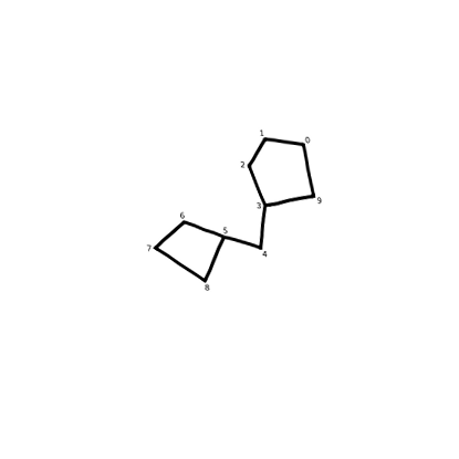 C1CC[C](CC2CCC2)C1